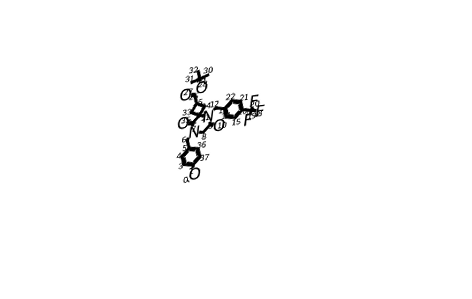 COc1ccc(CN2CC(=O)N(Cc3ccc(C(F)(F)F)cc3)C3(CC(C(=O)OC(C)(C)C)C3)C2=O)cc1